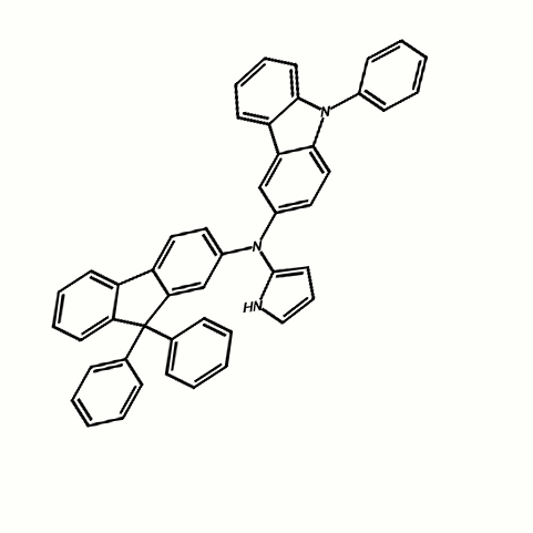 c1ccc(-n2c3ccccc3c3cc(N(c4ccc5c(c4)C(c4ccccc4)(c4ccccc4)c4ccccc4-5)c4ccc[nH]4)ccc32)cc1